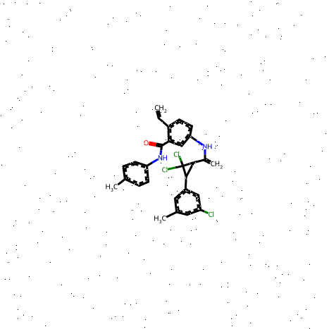 C=Cc1ccc(NC(=C)C2C(c3cc(C)cc(Cl)c3)C2(Cl)Cl)cc1C(=O)Nc1ccc(C)cc1